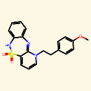 COc1ccc(CCN2C=CC=C3C2=Nc2ccccc2NS3(=O)=O)cc1